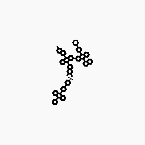 Cc1ccc2cc(-c3c4ccccc4c(-c4ccc5cc(C[Si](C)(C)c6ccc(-c7ccc(-c8c9ccccc9c(-c9ccccc9)c9ccccc89)cc7)cc6)c(C)cc5c4)c4cc(-c5ccc6c(-c7cccc8ccccc78)c7ccccc7c(-c7ccc(C8CCCCC8)cc7)c6c5)ccc34)ccc2c1